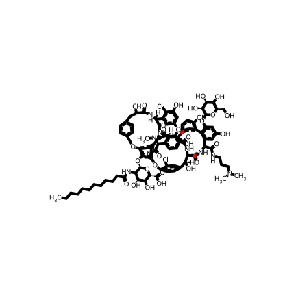 CCCCCCCCCCCC(=O)NC1[C@H](Oc2c3cc4cc2Oc2ccc(cc2Cl)[C@@H](O)[C@@H]2NC(=O)[C@H](NC(=O)C4NC(=O)[C@@H](c4cc(Oc5cc([C@@H](NC)C(N)=O)ccc5O)cc(O)c4Cl)NC(=O)C(C)Cc4ccc(cc4)O3)c3ccc(O)c(c3)-c3c(OC4O[C@H](CO)C(O)[C@H](O)[C@@H]4O)cc(O)cc3C(C(=O)NCCCN(C)C)NC2=O)O[C@H](C(=O)O)C(O)[C@@H]1O